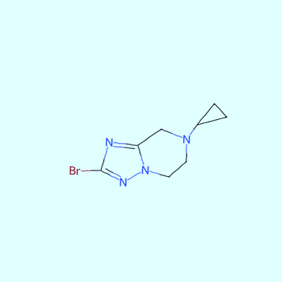 Brc1nc2n(n1)CCN(C1CC1)C2